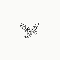 COc1ccc(CNc2nc(SC)nc(NC(C)c3nc4ccc(F)cc4cc3-c3ccccn3)c2C(C)=O)cc1